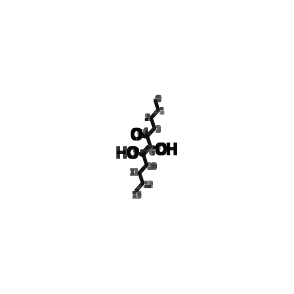 CCCCC(=O)C(O)=C(O)CCCC